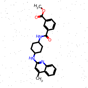 COC(=O)c1cccc(C(=O)NC2CCC(Nc3cc(C)c4ccccc4n3)CC2)c1